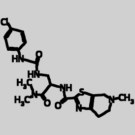 CN1CCc2nc(C(=O)NC(CNC(=O)Nc3ccc(Cl)cc3)C(=O)N(C)C)sc2C1